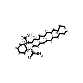 CCCCCCCCCCCN(C(N)=O)[C@H]1CCCC[C@@H]1N(CCCCCCCCCCC)C(N)=O